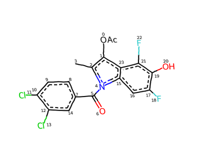 CC(=O)Oc1c(C)n(C(=O)c2ccc(Cl)c(Cl)c2)c2cc(F)c(O)c(F)c12